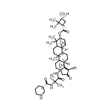 CC(C)C1=C2[C@H]3CC[C@@H]4[C@@]5(C)CC[C@H](OC(=O)[C@H]6C[C@@H](C(=O)O)C6(C)C)C(C)(C)C5CC[C@@]4(C)[C@]3(C)CC[C@@]2(NC(=O)C(C)(C)NC(=O)[C@H]2CCCNC2)CC1=O